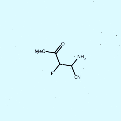 COC(=O)C(F)C(N)C#N